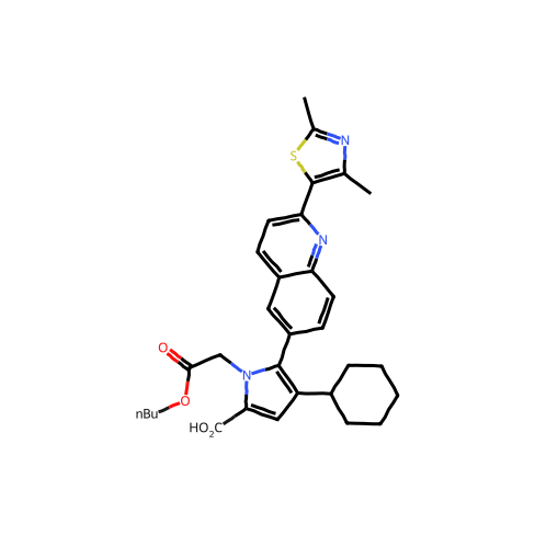 CCCCOC(=O)Cn1c(C(=O)O)cc(C2CCCCC2)c1-c1ccc2nc(-c3sc(C)nc3C)ccc2c1